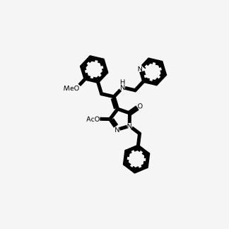 COc1ccccc1C/C(NCc1ccccn1)=C1/C(=O)N(Cc2ccccc2)N=C1OC(C)=O